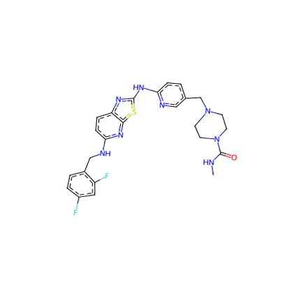 CNC(=O)N1CCN(Cc2ccc(Nc3nc4ccc(NCc5ccc(F)cc5F)nc4s3)nc2)CC1